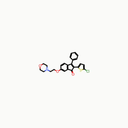 O=C1C(c2ccc(Cl)s2)=C(c2ccccc2)c2ccc(OCCN3CCOCC3)cc21